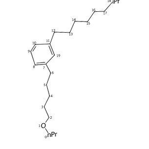 CCCOCCCCCc1cccc(CCCCCCC(C)C)c1